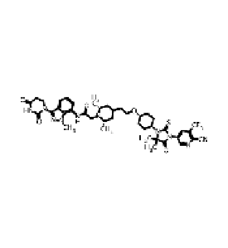 C[C@@H]1CC(CCO[C@H]2CC[C@H](N3C(=S)N(c4cnc(C#N)c(C(F)(F)F)c4)C(=O)C3(C)C)CC2)C[C@H](C)N1CC(=O)Nc1cccc2c(N3CCC(=O)NC3=O)nn(C)c12